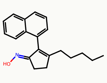 CCCCCC1=C(c2cccc3ccccc23)/C(=N/O)CC1